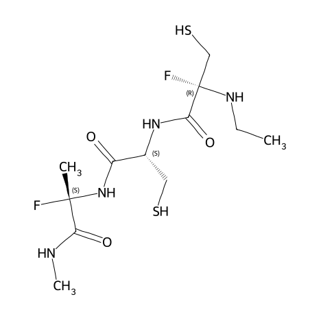 CCN[C@](F)(CS)C(=O)N[C@H](CS)C(=O)N[C@@](C)(F)C(=O)NC